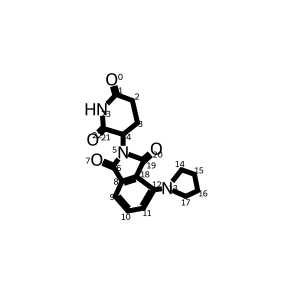 O=C1CCC(N2C(=O)c3cccc(N4CCCC4)c3C2=O)C(=O)N1